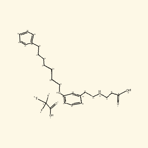 O=C(O)C(F)(F)F.O=C(O)CCNCCc1cccc(OCCCCCCCc2ccccc2)c1